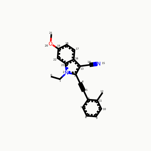 CCn1c(C#Cc2ccccc2C)c(C#N)c2ccc(OC)cc21